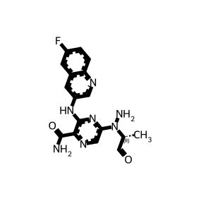 C[C@H](C=O)N(N)c1cnc(C(N)=O)c(Nc2cnc3ccc(F)cc3c2)n1